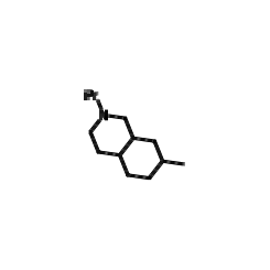 CC1CCC2CCN(C(C)C)CC2C1